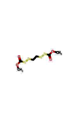 COC(=O)SSCCSSC(=O)OC